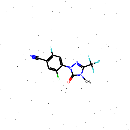 Cn1c(C(F)(F)F)nn(-c2cc(F)c(C#N)cc2Cl)c1=O